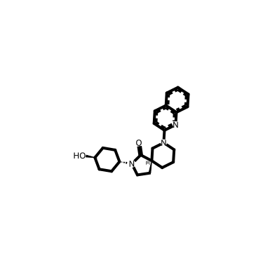 O=C1N([C@H]2CC[C@H](O)CC2)CC[C@@]12CCCN(c1ccc3ccccc3n1)C2